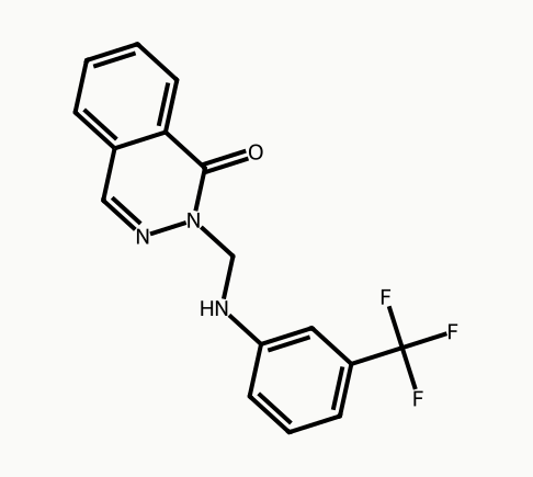 O=c1c2ccccc2cnn1CNc1cccc(C(F)(F)F)c1